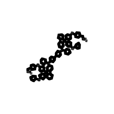 C=Cc1ccc(Oc2ccc(C3(c4ccc(Oc5ccccc5)cc4)c4ccccc4-c4ccc(N(c5ccccc5)c5ccc(-c6ccc(N(C7=CC8C(C=C7)c7ccccc7C8(c7ccc(Oc8ccccc8)cc7)c7ccc(Oc8ccc(C=C)cc8)cc7)c7ccccc7)cc6)cc5)cc43)cc2)cc1